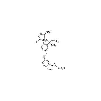 C=CC(C)(C)c1cc(COc2ccc3c(c2)C2(CC3)CC2C(=O)O)ccc1-c1cc(OC)ncc1F